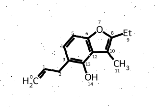 C=CCc1ccc2oc(CC)c(C)c2c1O